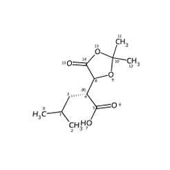 CC(C)C[C@@H](C(=O)O)C1OC(C)(C)OC1=O